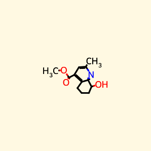 COC(=O)c1cc(C)nc2c1CCCC2O